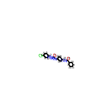 O=C(NC[C@H]1C=CC(Cl)=CC1)NC1=CC[C@@H](CNC(=O)C2CCCCC2)C=C1